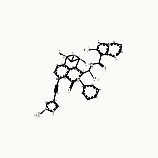 C[C@H](NC(=O)c1c(N)nn2cccnc12)c1c2c3c(ccc(C#Cc4cnn(C)c4)c3c(=O)n1-c1ccccc1)[C@H]1C3[C@@H]2N31